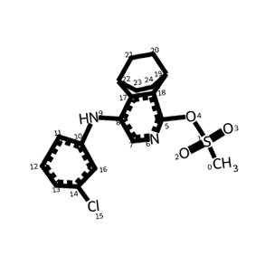 CS(=O)(=O)Oc1ncc(Nc2cccc(Cl)c2)c2c1C1CCC2CC1